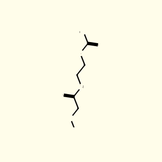 CCOCC(=O)NCCNC(=O)C(C)C